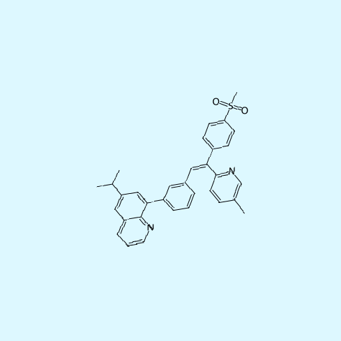 Cc1ccc(C(=Cc2cccc(-c3cc(C(C)C)cc4cccnc34)c2)c2ccc(S(C)(=O)=O)cc2)nc1